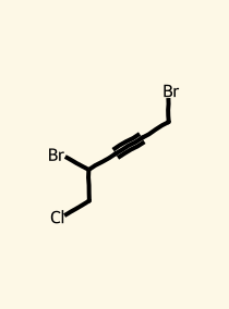 ClCC(Br)C#CCBr